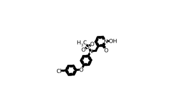 CS(=O)(=O)N(Cc1cccn(O)c1=O)c1ccc(Oc2ccc(Cl)cc2)cc1